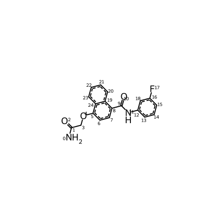 NC(=O)COc1ccc(C(=O)Nc2cccc(F)c2)c2ccccc12